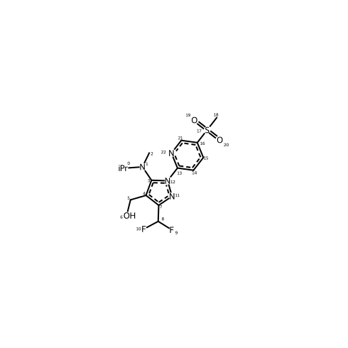 CC(C)N(C)c1c(CO)c(C(F)F)nn1-c1ccc(S(C)(=O)=O)cn1